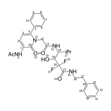 CC(=O)Nc1ccc(-c2ccccc2)n(CC(=O)NC(C(C)C)C(O)C(F)(F)C(=O)NCCc2ccccc2)c1=O